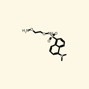 CN(C)c1cccc2c(S(=O)(=O)NOCCON)cccc12